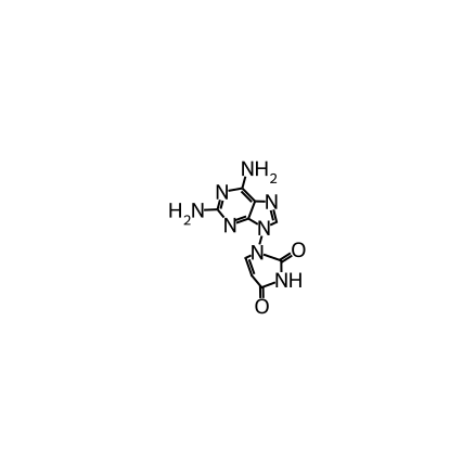 Nc1nc(N)c2ncn(-n3ccc(=O)[nH]c3=O)c2n1